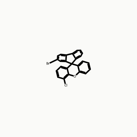 Clc1cccc2c1Oc1ccccc1C21c2ccccc2-c2ccc(Br)cc21